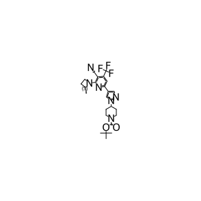 C[C@H]1CCN1c1nc(-c2cnn(C3CCN(C(=O)OC(C)(C)C)CC3)c2)cc(C(F)(F)F)c1C#N